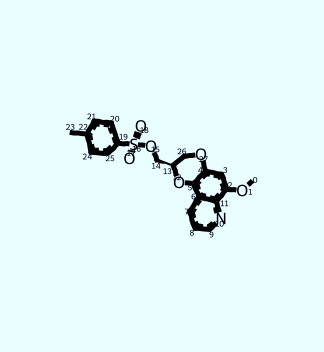 COc1cc2c(c3cccnc13)O[C@@H](COS(=O)(=O)c1ccc(C)cc1)CO2